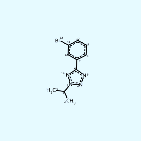 CC(C)n1nnc(-c2cccc(Br)c2)n1